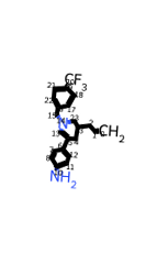 C=CCC1CC(c2ccc(N)cc2)=CN(Cc2ccc(C(F)(F)F)cc2)C1